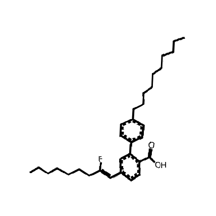 CCCCCCCCCCc1ccc(-c2cc(C=C(F)CCCCCCC)ccc2C(=O)O)cc1